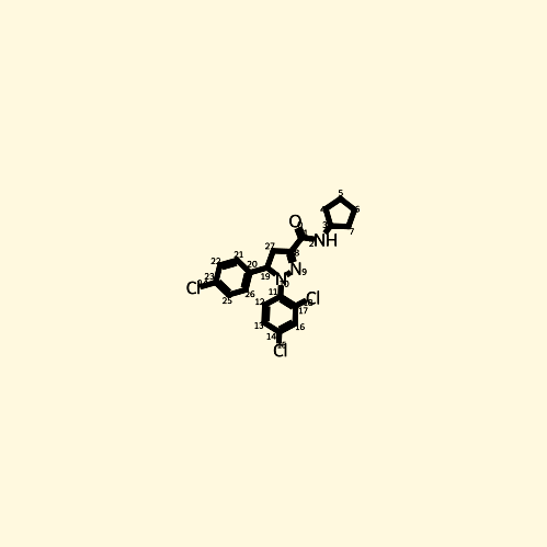 O=C(NC1CCCC1)C1=NN(c2ccc(Cl)cc2Cl)C(c2ccc(Cl)cc2)C1